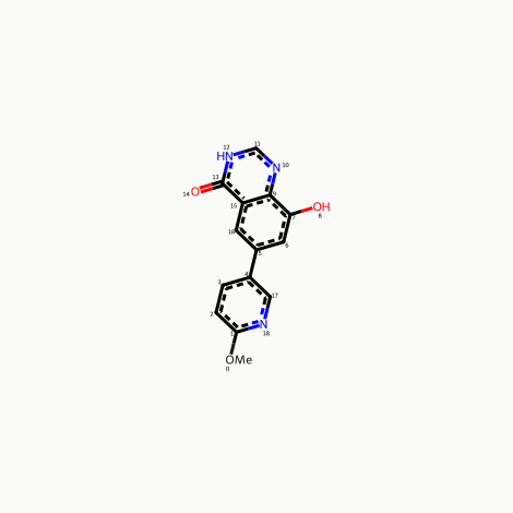 COc1ccc(-c2cc(O)c3nc[nH]c(=O)c3c2)cn1